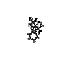 FC(F)(F)C(F)(Oc1ccccc1)C(F)(F)F